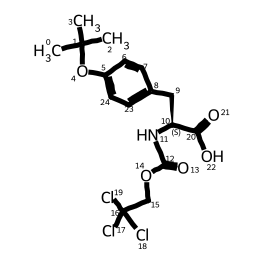 CC(C)(C)Oc1ccc(C[C@H](NC(=O)OCC(Cl)(Cl)Cl)C(=O)O)cc1